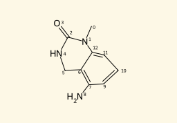 CN1C(=O)NCc2c(N)cccc21